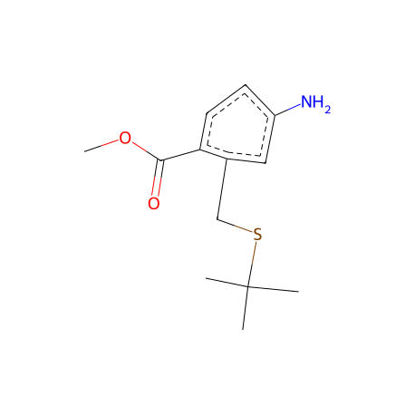 COC(=O)c1ccc(N)cc1CSC(C)(C)C